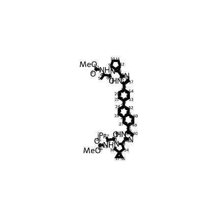 COC(=O)NC(C)C(=O)N1C2CCC(C2)C1c1ncc(-c2ccc(-c3ccc4cc(-c5cnc(C6CC7(CC7)CN6C(=O)C(NC(=O)OC)C(C)C)[nH]5)ccc4c3)cc2)[nH]1